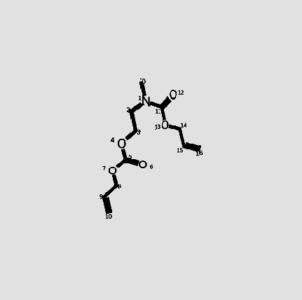 [CH2]N(CCOC(=O)OCC=C)C(=O)OCC=C